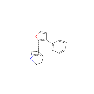 C1=C(c2occc2-c2ccccc2)C2CCN1CC2